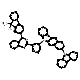 CC1(C)c2ccccc2-c2ccc(-c3nc(-c4cccc(-n5c6ccccc6c6cc7ccc(-n8c9ccccc9c9ccccc98)cc7cc65)c4)nc4ccccc34)cc21